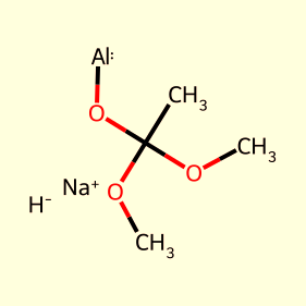 COC(C)(OC)[O][Al].[H-].[Na+]